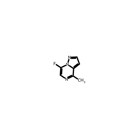 Cc1ncc(F)n2nccc12